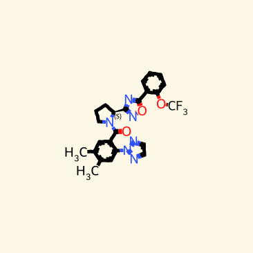 Cc1cc(C(=O)N2CCC[C@H]2c2noc(-c3ccccc3OC(F)(F)F)n2)c(-n2nccn2)cc1C